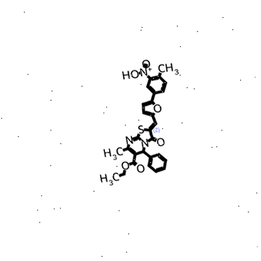 CCOC(=O)C1=C(C)N=c2s/c(=C\c3ccc(-c4ccc(C)c([N+](=O)O)c4)o3)c(=O)n2C1c1ccccc1